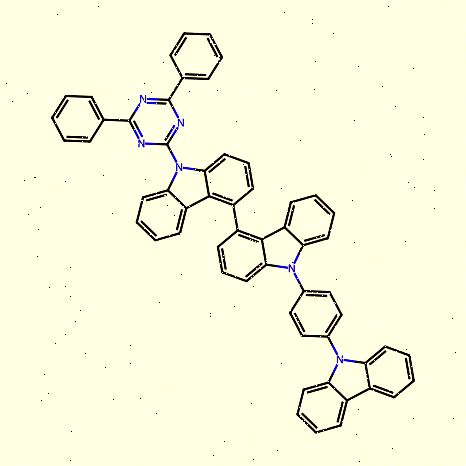 c1ccc(-c2nc(-c3ccccc3)nc(-n3c4ccccc4c4c(-c5cccc6c5c5ccccc5n6-c5ccc(-n6c7ccccc7c7ccccc76)cc5)cccc43)n2)cc1